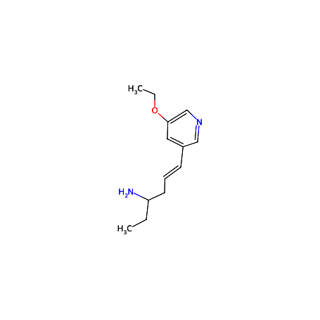 CCOc1cncc(C=CCC(N)CC)c1